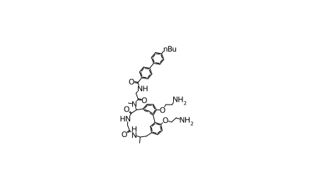 CCCCc1ccc(-c2ccc(C(=O)NCC(=O)N(C)C3C(=O)NCC(=O)NC(C)Cc4ccc(OCCN)c(c4)-c4cc3ccc4OCCN)cc2)cc1